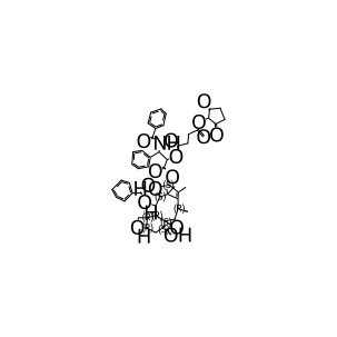 CC1=C2[C@@H](C)C(=O)[C@@]3(C)[C@H](C(OC(=O)c4ccccc4)[C@](O)(C[C@@H]1OC(=O)C(OC(=O)CCC(=O)OC1C(=O)CCC1=O)C(NC(=O)c1ccccc1)c1ccccc1)C2(C)C)[C@]1(C)CO[C@@H]1C[C@@H]3O